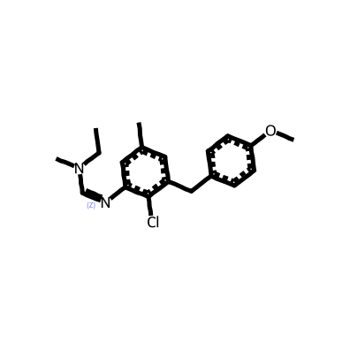 CCN(C)/C=N\c1cc(C)cc(Cc2ccc(OC)cc2)c1Cl